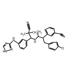 CC(NC(c1cccc(Nc2nc[nH]n2)c1)C(C)(C)C#N)C(Cc1ccc(Cl)cc1)c1cccc(C#N)c1